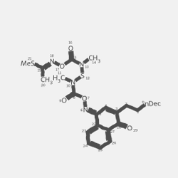 CCCCCCCCCCCCC1=CC(=NOC(=O)N(C)SN(C)C(=O)ON=C(C)SC)c2ccccc2C1=O